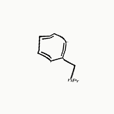 CCCCc1[c]ccc[c]1